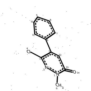 Cn1nc(Cl)c(-c2ccccc2)cc1=O